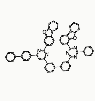 c1ccc(-c2ccc(-c3cc(-c4cccc(-c5cccc(-c6nc(-c7ccccc7)nc(-c7cccc8c7oc7ccccc78)n6)c5)c4)nc(-c4ccc5c(c4)oc4ccccc45)n3)cc2)cc1